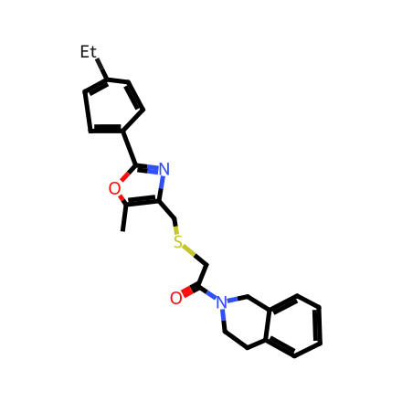 CCc1ccc(-c2nc(CSCC(=O)N3CCc4ccccc4C3)c(C)o2)cc1